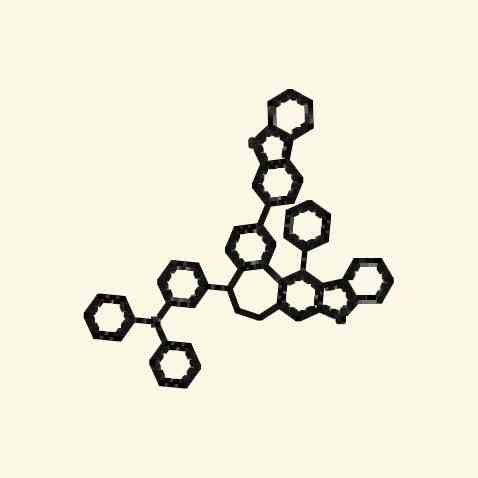 c1ccc(-c2c3c(cc4oc5ccccc5c24)CCC(c2cccc(N(c4ccccc4)c4ccccc4)c2)c2ccc(-c4ccc5c(c4)oc4ccccc45)cc2-3)cc1